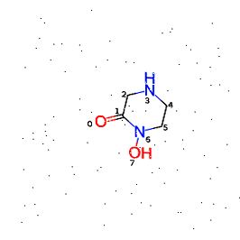 O=C1CNCCN1O